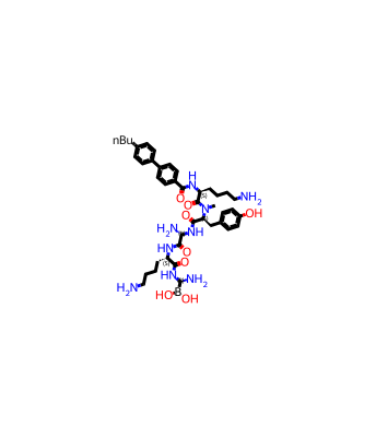 CCCCc1ccc(-c2ccc(C(=O)N[C@@H](CCCCN)C(=O)N(C)[C@@H](Cc3ccc(O)cc3)C(=O)N[C@@H](N)C(=O)N[C@@H](CCCCN)C(=O)N[C@@H](N)B(O)O)cc2)cc1